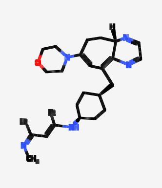 CCC(/C=C(\CC)N[C@H]1CC[C@@H](CC2=C3N=CC=N[C@H]3CCC(N3CCOCC3)=C2)CC1)=N/C